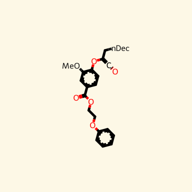 CCCCCCCCCCCC(=C=O)Oc1ccc(C(=O)OCCOc2ccccc2)cc1OC